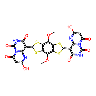 COc1c2c(c(OC)c3c1SC(=c1c(=O)[nH]c(=O)n4c(=O)cc(O)nc14)S3)SC(=c1c(=O)[nH]c(=O)n3c(=O)cc(O)nc13)S2